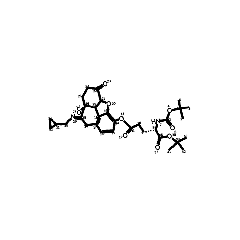 CC(C)(C)OC(=O)N[C@@H](CCC(=O)Oc1ccc2c3c1OC1C(=O)CC[C@@](O)(/C(=N/CC4CC4)C2)C31)C(=O)OC(C)(C)C